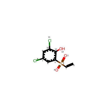 C=CS(=O)(=O)c1cc(Cl)cc(Cl)c1O